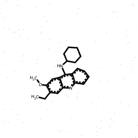 CCc1cc2nc3ccccc3c(NC3CCCCC3)c2cc1OC